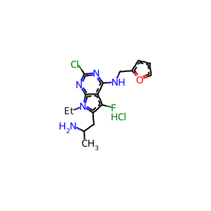 CCn1c(CC(C)N)c(F)c2c(NCc3ccco3)nc(Cl)nc21.Cl